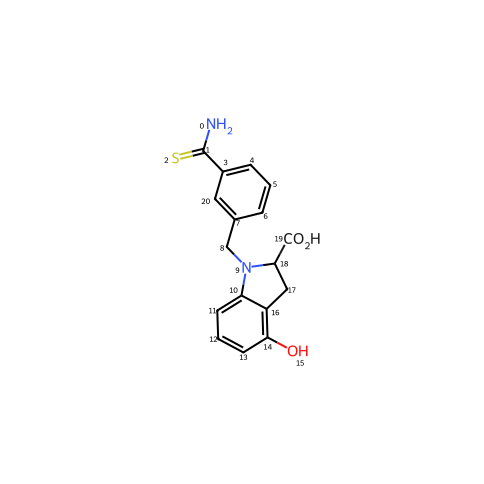 NC(=S)c1cccc(CN2c3cccc(O)c3CC2C(=O)O)c1